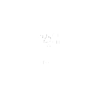 CCCCCCCCCCCCCCCOc1nc(N2CCC2)nc(C)c1O